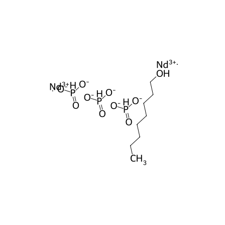 CCCCCCCCO.O=[PH]([O-])[O-].O=[PH]([O-])[O-].O=[PH]([O-])[O-].[Nd+3].[Nd+3]